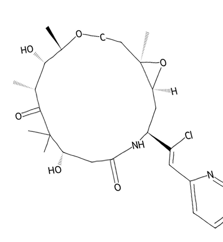 C[C@H]1OCC[C@@]2(C)O[C@H]2C[C@@H](C(Cl)=Cc2ccccn2)NC(=O)C[C@H](O)C(C)(C)C(=O)[C@H](C)[C@@H]1O